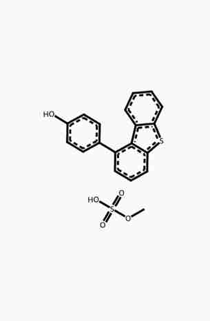 COS(=O)(=O)O.Oc1ccc(-c2cccc3sc4ccccc4c23)cc1